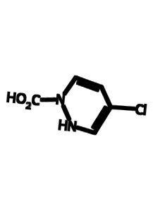 O=C(O)N1C=CC(Cl)=CN1